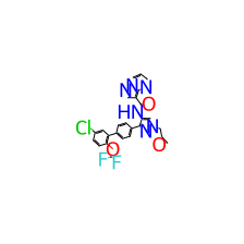 O=C(Nc1cn(CC2CO2)nc1-c1ccc(-c2cc(Cl)ccc2OC(F)F)cc1)c1cnn2cccnc12